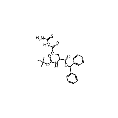 CC(C)(C)OC(=O)NC(COC(=O)NC(N)=S)C(=O)OC(c1ccccc1)c1ccccc1